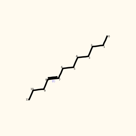 [CH2]CCCCCC/C=C/CCC